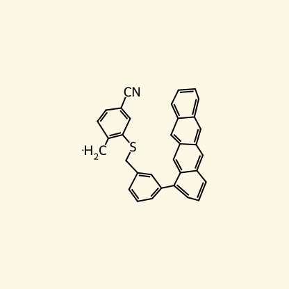 [CH2]c1ccc(C#N)cc1SCc1cccc(-c2cccc3cc4cc5ccccc5cc4cc23)c1